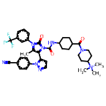 Cc1c(-c2ccnn2-c2ccc(C#N)cc2)n(C(=O)NC2CCC(C(=O)N3CCC([N+](C)(C)C)CC3)CC2)c(=O)n1-c1cccc(C(F)(F)F)c1